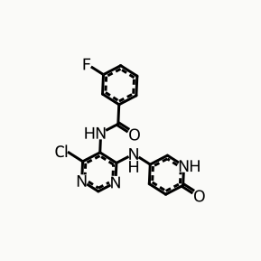 O=C(Nc1c(Cl)ncnc1Nc1ccc(=O)[nH]c1)c1cccc(F)c1